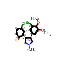 COc1cc([C@H]2CN(C)C[C@@H]2c2cc(Cl)ccc2O)cc(Br)c1OC